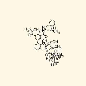 COc1c(CN2O[C@@H](CO)[C@H]([C@H](C)O)[C@H]2C(=O)N[C@H]2C[C@H]3C[C@@H]([C@@H]2C)C3(C)C)cccc1-c1cc(C(=O)N[C@@H](Cc2ccccc2)CN(C)C)cc(C(=O)N(C)C)c1